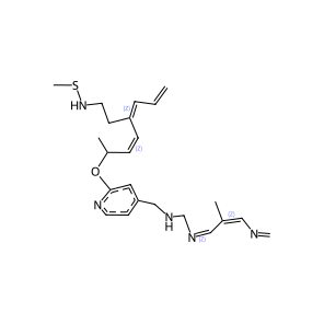 C=C/C=C(\C=C/C(C)Oc1cc(CNC/N=C\C(C)=C/N=C)ccn1)CCNSC